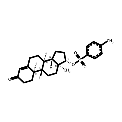 Cc1ccc(S(=O)(=O)O[C@H]2CC[C@H]3[C@@H]4CCC5=CC(=O)CC[C@@H]5[C@H]4CC[C@]23C)cc1